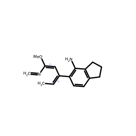 C=N/C(=C\C(=C/C)c1ccc2c(c1N)CCC2)OC